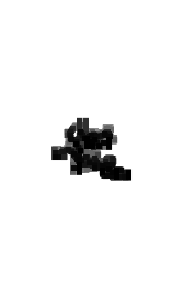 C\C=C/C(=N\C(=C\CC)NC1CC2(C1)CN(C(=O)OC(C)(C)C)C2)Nc1cc(C2CC2)[nH]n1